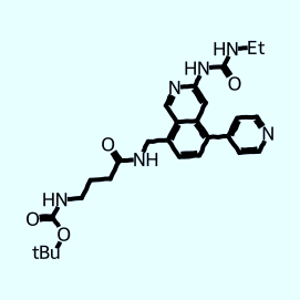 CCNC(=O)Nc1cc2c(-c3ccncc3)ccc(CNC(=O)CCCNC(=O)OC(C)(C)C)c2cn1